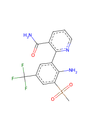 CS(=O)(=O)c1cc(C(F)(F)F)cc(-c2ncccc2C(N)=O)c1N